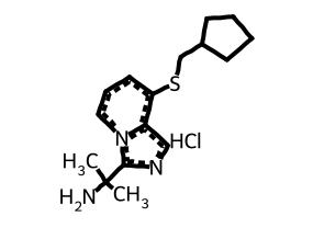 CC(C)(N)c1ncc2c(SCC3CCCC3)cccn12.Cl